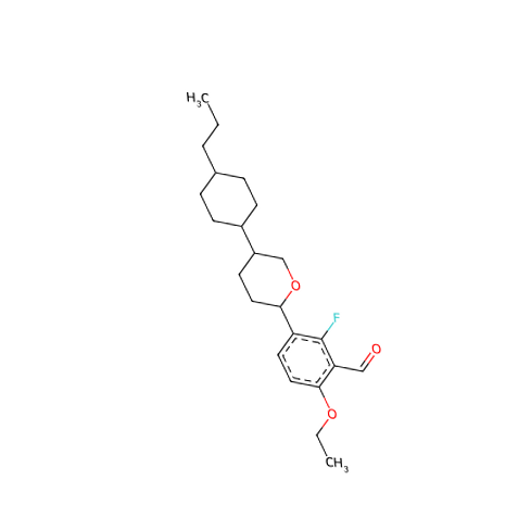 CCCC1CCC(C2CCC(c3ccc(OCC)c(C=O)c3F)OC2)CC1